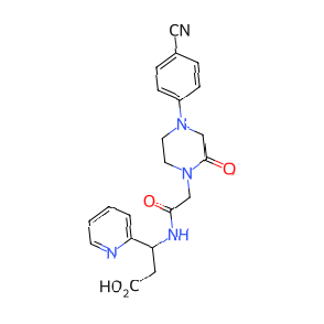 N#Cc1ccc(N2CCN(CC(=O)NC(CC(=O)O)c3ccccn3)C(=O)C2)cc1